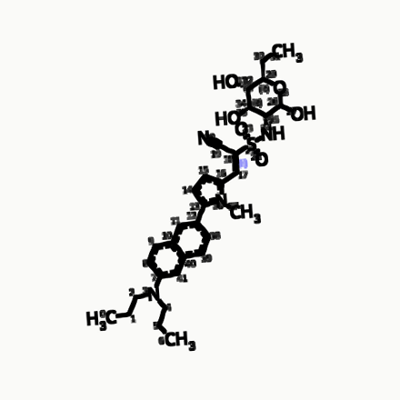 CCCN(CCC)c1ccc2cc(-c3ccc(/C=C(\C#N)S(=O)(=O)N[C@H]4C(O)O[C@H](CC)[C@@H](O)[C@@H]4O)n3C)ccc2c1